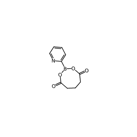 O=C1CCCC(=O)OB(c2ccccn2)O1